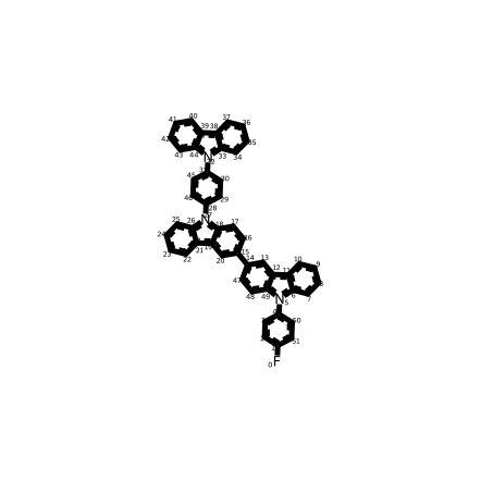 Fc1ccc(-n2c3ccccc3c3cc(-c4ccc5c(c4)c4ccccc4n5-c4ccc(-n5c6ccccc6c6ccccc65)cc4)ccc32)cc1